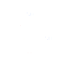 CC(=O)C(N)C([18F])CC(N)=O